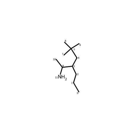 CCCC(CC(C)(C)C)C(C)N